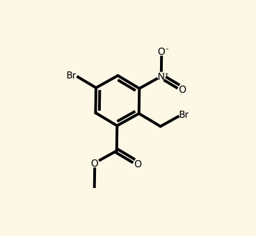 COC(=O)c1cc(Br)cc([N+](=O)[O-])c1CBr